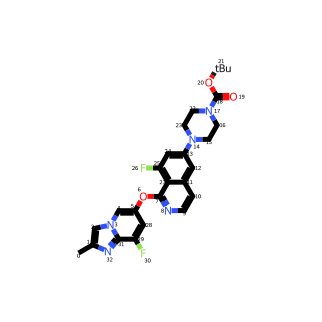 Cc1cn2cc(Oc3nccc4cc(N5CCN(C(=O)OC(C)(C)C)CC5)cc(F)c34)cc(F)c2n1